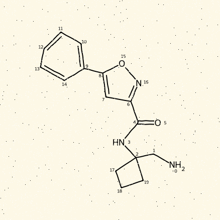 NCC1(NC(=O)c2cc(-c3ccccc3)on2)CCC1